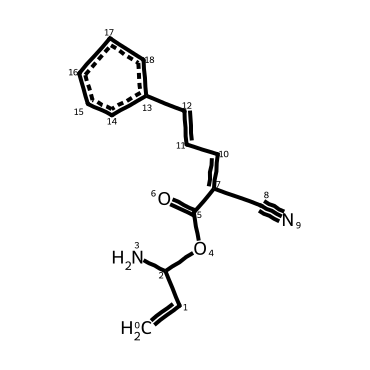 C=CC(N)OC(=O)C(C#N)=CC=Cc1ccccc1